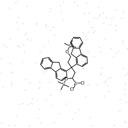 C[Si](C)(C)OCCC(C[CH](O[Si](C)(C)C)[Zr]([Cl])[Cl])(c1cccc2c1Cc1ccccc1-2)c1cccc2c1Cc1ccccc1-2